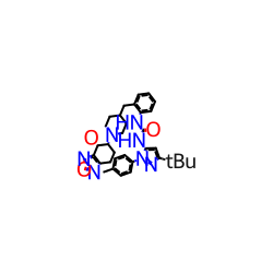 Cc1ccc(-n2nc(C(C)(C)C)cc2NC(=O)Nc2ccccc2CC2CCN(C3CCc4nonc4C3=O)CC2)cc1